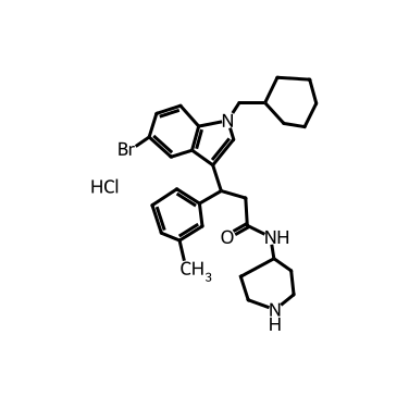 Cc1cccc(C(CC(=O)NC2CCNCC2)c2cn(CC3CCCCC3)c3ccc(Br)cc23)c1.Cl